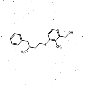 Cc1c(SCCN(C)Cc2ccccc2)ccnc1CO